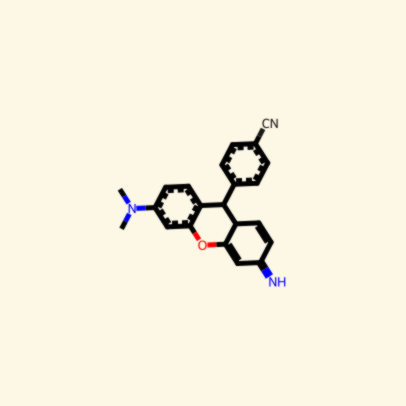 CN(C)c1ccc2c(c1)OC1=CC(=N)C=CC1C2c1ccc(C#N)cc1